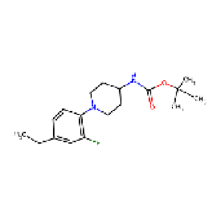 CCc1ccc(N2CCC(NC(=O)OC(C)(C)C)CC2)c(F)c1